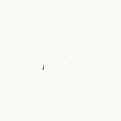 CN1CCC[C@]12CCN(CC(=O)O)C2=O